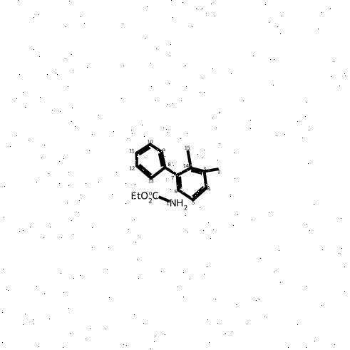 CCOC(N)=O.Cc1cccc(-c2ccccc2)c1C